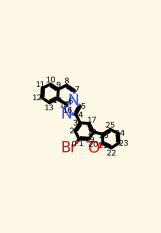 Brc1cc(-c2cn3ccc4ccccc4c3n2)cc2c1oc1ccccc12